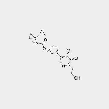 O=C(NC1(C2CC2)CC1)O[C@@H]1CCN(c2cnn(CCO)c(=O)c2Cl)C1